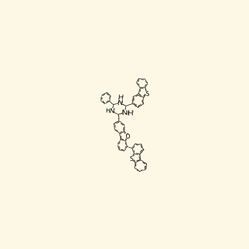 c1ccc(C2NC(c3ccc4c(c3)oc3c(-c5cccc6c5sc5ccccc56)cccc34)NC(c3ccc4sc5ccccc5c4c3)N2)cc1